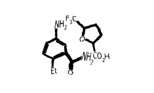 CCc1ccc(N)cc1C(N)=O.O=C(O)C1CCC(C(F)(F)F)O1